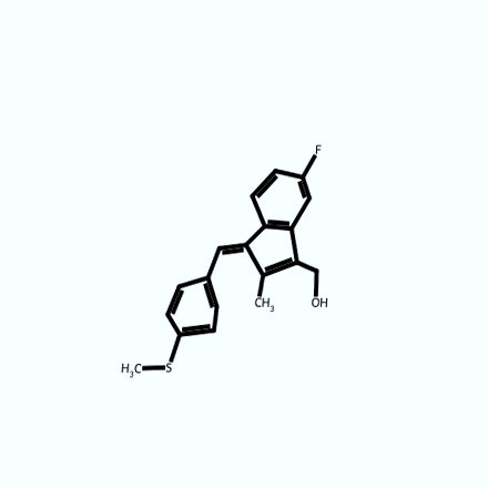 CSc1ccc(C=C2C(C)=C(CO)c3cc(F)ccc32)cc1